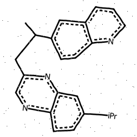 CC(C)c1ccc2ncc(CC(C)c3ccc4ncccc4c3)nc2c1